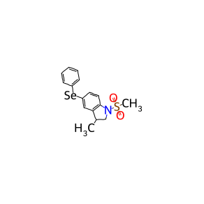 CC1CN(S(C)(=O)=O)c2ccc([Se]c3ccccc3)cc21